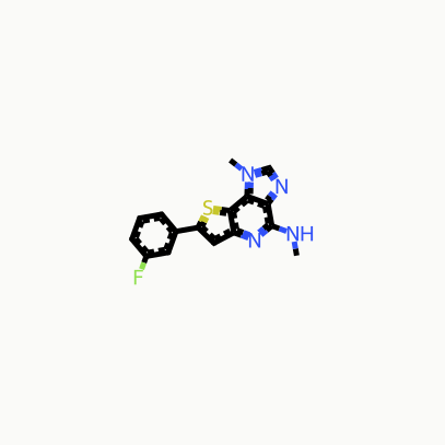 CNc1nc2cc(-c3cccc(F)c3)sc2c2c1ncn2C